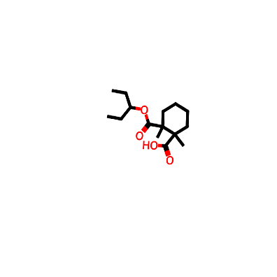 CCC(CC)OC(=O)C1(C)CCCCC1(C)C(=O)O